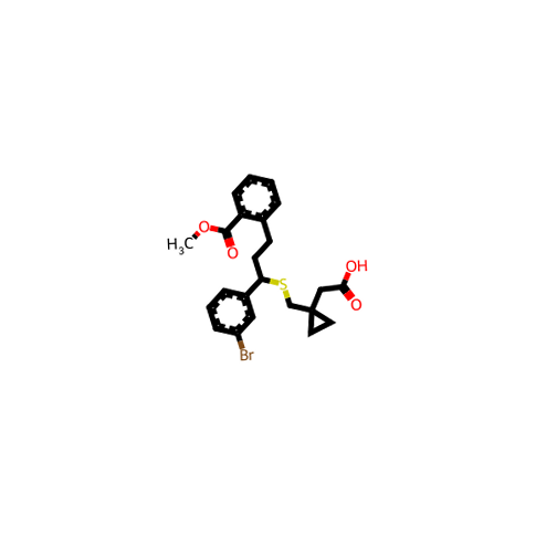 COC(=O)c1ccccc1CCC(SCC1(CC(=O)O)CC1)c1cccc(Br)c1